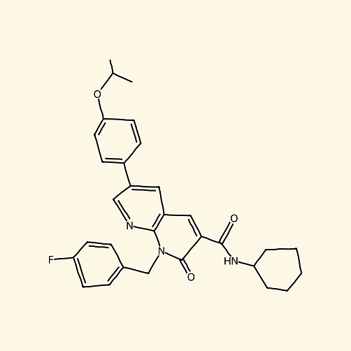 CC(C)Oc1ccc(-c2cnc3c(c2)cc(C(=O)NC2CCCCC2)c(=O)n3Cc2ccc(F)cc2)cc1